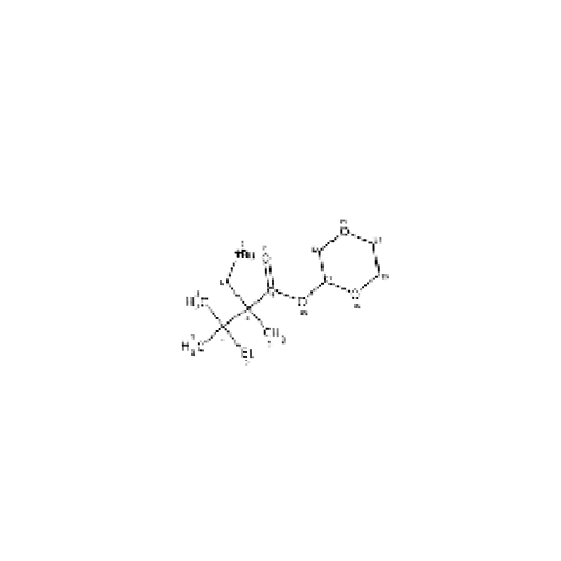 CCC(C)(C)C(C)(CC(C)(C)C)C(=O)OC1COCCO1